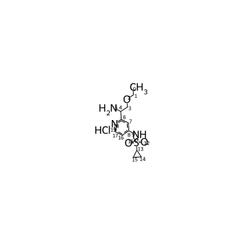 CCOCC(N)c1cc(NS(=O)(=O)C2CC2)ccn1.Cl